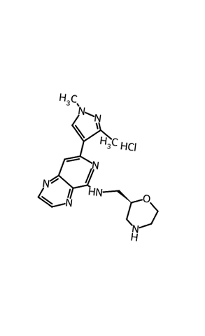 Cc1nn(C)cc1-c1cc2nccnc2c(NC[C@@H]2CNCCO2)n1.Cl